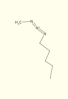 CN=[N+]=NCCCCI